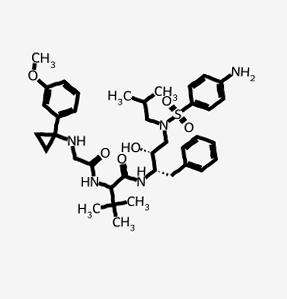 COc1cccc(C2(NCC(=O)NC(C(=O)N[C@@H](Cc3ccccc3)[C@H](O)CN(CC(C)C)S(=O)(=O)c3ccc(N)cc3)C(C)(C)C)CC2)c1